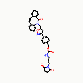 O=C(NCCCN1C(=O)C=CC1=O)OCc1ccc(C2=NOC(CN3C(=O)c4ccccc4C#Cc4ccccc43)C2)cc1